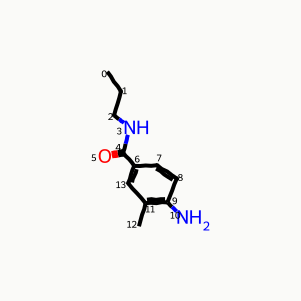 CCCNC(=O)c1ccc(N)c(C)c1